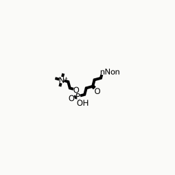 CCCCCCCCCCCC(=O)CCP(=O)(O)OCC[N+](C)(C)C